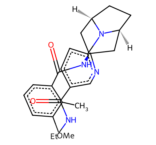 CCNC(=O)c1ccc(N2[C@@H]3CC[C@H]2C[C@@H](NC(=O)c2cccc(OC)c2C)C3)nc1